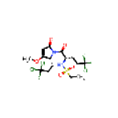 CCS(=O)(=O)N[C@@H](CCC(Cl)(Cl)Cl)C(=O)N1C(=O)C=C(OC)[C@H]1CCC(Cl)(Cl)Cl